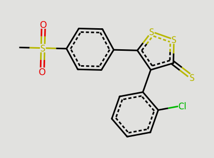 CS(=O)(=O)c1ccc(-c2ssc(=S)c2-c2ccccc2Cl)cc1